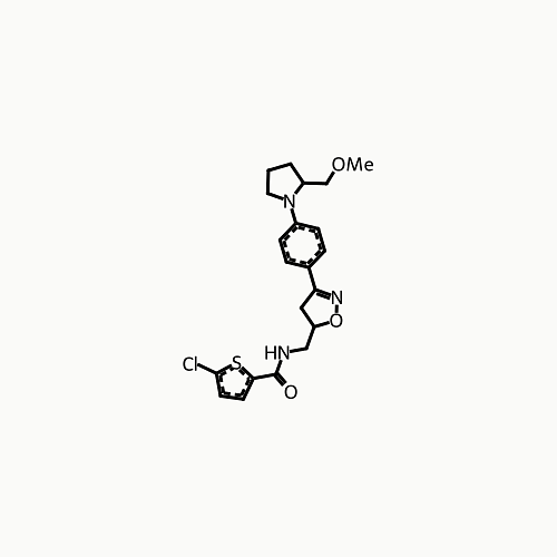 COCC1CCCN1c1ccc(C2=NOC(CNC(=O)c3ccc(Cl)s3)C2)cc1